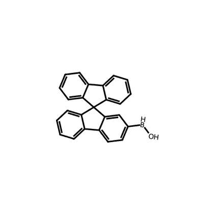 OBc1ccc2c(c1)C1(c3ccccc3-c3ccccc31)c1ccccc1-2